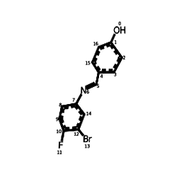 Oc1ccc(/C=N/c2ccc(F)c(Br)c2)cc1